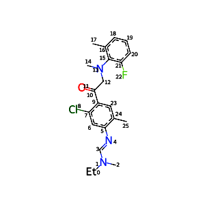 CCN(C)C=Nc1cc(Cl)c(C(=O)CN(C)c2c(C)cccc2F)cc1C